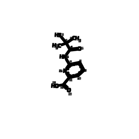 CC(C)(S)C(=O)Nc1cccc(C(=O)O)n1